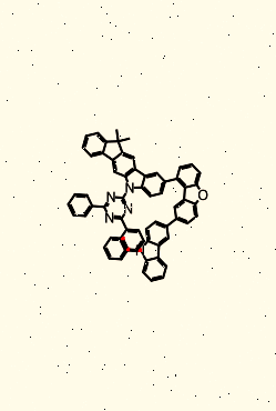 CC1(C)c2ccccc2-c2cc3c(cc21)c1cc(-c2cccc4oc5ccc(-c6ccc7c(c6)c6ccccc6n7-c6ccccc6)cc5c24)ccc1n3-c1nc(-c2ccccc2)nc(-c2ccccc2)n1